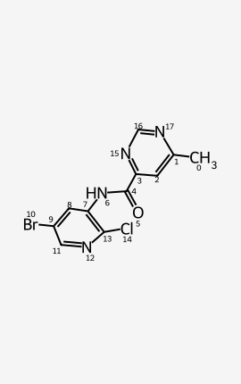 Cc1cc(C(=O)Nc2cc(Br)cnc2Cl)ncn1